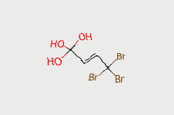 OC(O)(O)C=CC(Br)(Br)Br